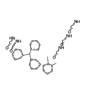 Cc1ccccc1C.N=C=O.N=C=O.N=C=O.N=C=O.N=C=O.c1ccc(C(c2ccccc2)c2ccccc2)cc1